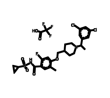 Cc1cc(C(=O)NS(=O)(=O)C2CC2)c(F)cc1OCC1CCN(C(C)c2cc(Cl)cc(Cl)c2)CC1.O=C(O)C(F)(F)F